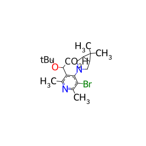 Cc1nc(C)c(C(OC(C)(C)C)C(=O)O)c(N2CC3C(C2)C3(C)C)c1Br